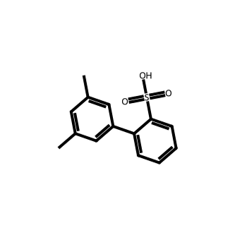 Cc1cc(C)cc(-c2ccccc2S(=O)(=O)O)c1